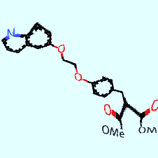 COC(=O)C(Cc1ccc(OCCOc2ccc3ncccc3c2)cc1)C(=O)OC